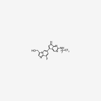 C[C@@H](Nc1ncc2c(-c3cc(F)c4ncc(CO)n4c3)c[nH]c2n1)C(F)(F)F